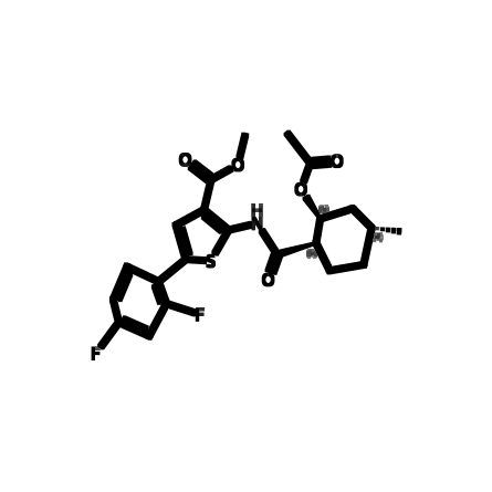 COC(=O)c1cc(-c2ccc(F)cc2F)sc1NC(=O)[C@@H]1CC[C@@H](C)C[C@@H]1OC(C)=O